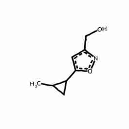 CC1CC1c1cc(CO)no1